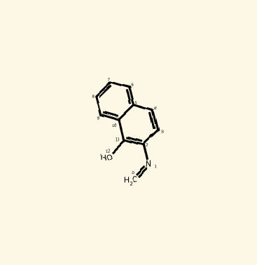 C=Nc1ccc2ccccc2c1O